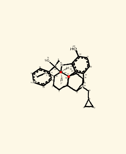 CO[C@]12CCC3(C[C@@H]1[C@@](C)(O)c1ccncc1)C1Cc4ccc(O)c5c4[C@@]3(CCN1CC1CC1)[C@@H]2O5